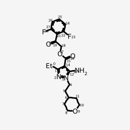 CCc1nn(CCC2CCOCC2)c(N)c1C(=O)OCC(=O)c1c(F)cccc1F